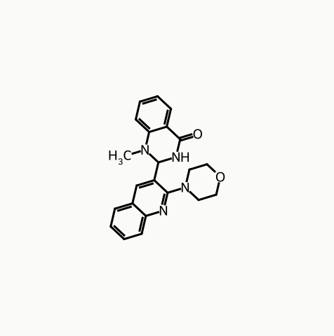 CN1c2ccccc2C(=O)NC1c1cc2ccccc2nc1N1CCOCC1